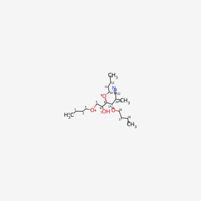 CCCCOC[C@H](O)[C@@H](OCCCC)[C@@H](OCCCC)C(C)C#N